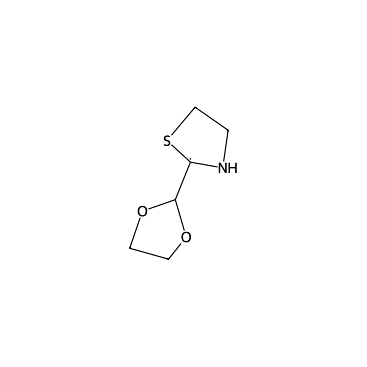 C1CS[C](C2OCCO2)N1